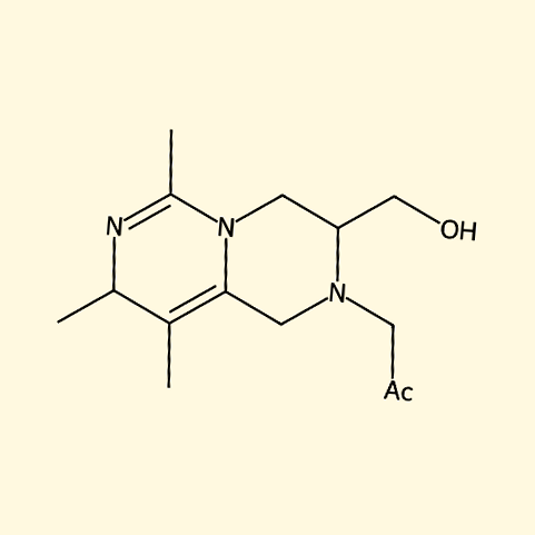 CC(=O)CN1CC2=C(C)C(C)N=C(C)N2CC1CO